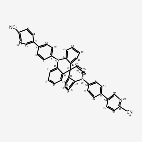 N#Cc1ccc(-c2ccc(N3c4ccccc4C4(c5ccccc53)c3ccccc3N(c3ccc(-c5ccc(C#N)nc5)cc3)c3ccccc34)cc2)cn1